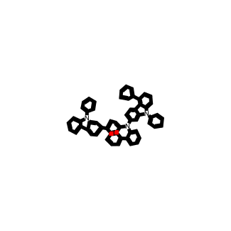 c1ccc(-c2ccccc2N(c2ccc(-c3ccc4c5ccccc5n(-c5ccccc5)c4c3)cc2)c2ccc3c4c(-c5ccccc5)cccc4n(-c4ccccc4)c3c2)cc1